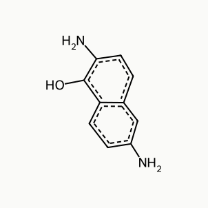 Nc1ccc2c(O)c(N)ccc2c1